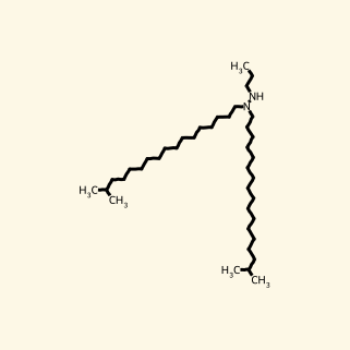 CCCNN(CCCCCCCCCCCCCCCC(C)C)CCCCCCCCCCCCCCCC(C)C